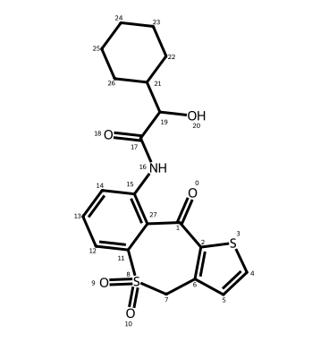 O=C1c2sccc2CS(=O)(=O)c2cccc(NC(=O)C(O)C3CCCCC3)c21